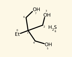 CCC(CO)(CO)CO.S